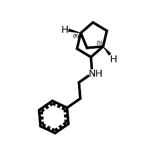 c1ccc(CCNC2C[C@@H]3CC[C@H]2C3)cc1